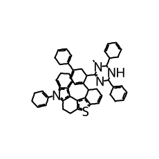 CN1C(C2CC(C3=CC=CCC3)=CC=C2C2CC=Cc3sc4c(c32)-c2c(n(C3=CCCC=C3)c3c2=CCCC=3)CC4)=NC(C2=CC=CCC2)NC1C1C=CC=CC1